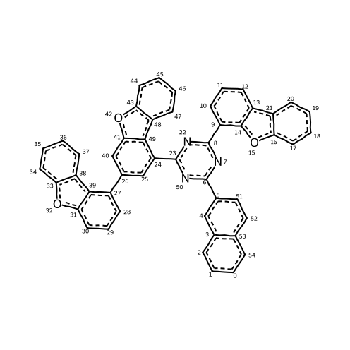 c1ccc2cc(-c3nc(-c4cccc5c4oc4ccccc45)nc(-c4cc(-c5cccc6oc7ccccc7c56)cc5oc6ccccc6c45)n3)ccc2c1